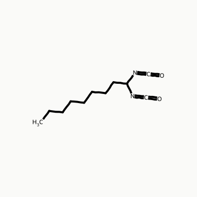 CCCCCCCCC(N=C=O)N=C=O